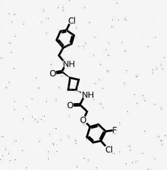 O=C(COc1ccc(Cl)c(F)c1)N[C@H]1C[C@H](C(=O)NCc2ccc(Cl)cc2)C1